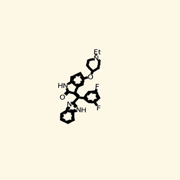 CCN1CCC(Oc2ccc3c(c2)/C(=C(\c2cc(F)cc(F)c2)c2nc4ccccc4[nH]2)C(=O)N3)CC1